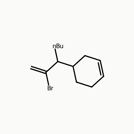 C=C(Br)C(CCCC)C1CC=CCC1